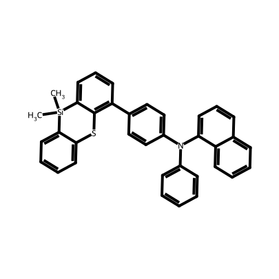 C[Si]1(C)c2ccccc2Sc2c(-c3ccc(N(c4ccccc4)c4cccc5ccccc45)cc3)cccc21